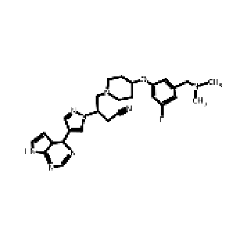 CN(C)Cc1cc(F)cc(OC2CCN(CC(CC#N)n3cc(C4N=CN=C5NC=CC54)cn3)CC2)c1